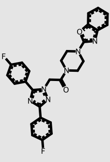 O=C(Cn1nc(-c2ccc(F)cc2)nc1-c1ccc(F)cc1)N1CCN(c2nc3ccccc3o2)CC1